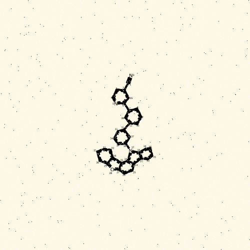 N#Cc1ccnc(-c2cccc(-c3cccc(-n4c5ccccc5c5ccc6oc7ccccc7c6c54)c3)c2)c1